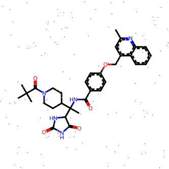 Cc1cc(COc2ccc(C(=O)NC(C)(C3CCN(C(=O)C(C)(C)C)CC3)C3NC(=O)NC3=O)cc2)c2ccccc2n1